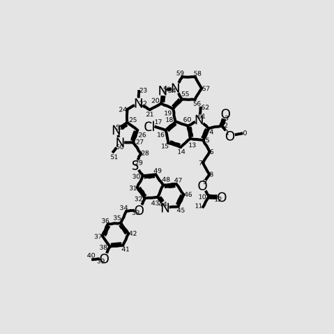 COC(=O)c1c(CCCOC(C)=O)c2ccc(Cl)c(-c3c(CN(C)Cc4cc(CSc5cc(OCc6ccc(OC)cc6)c6ncccc6c5)n(C)n4)nn4c3CCCC4)c2n1C